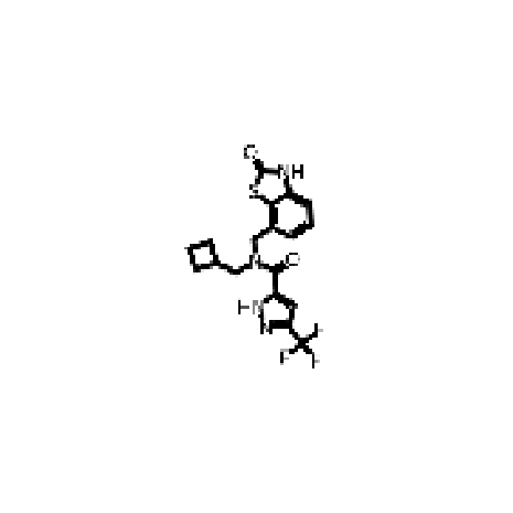 O=C(c1cc(C(F)(F)F)n[nH]1)N(Cc1cccc2[nH]c(=O)sc12)CC1CCC1